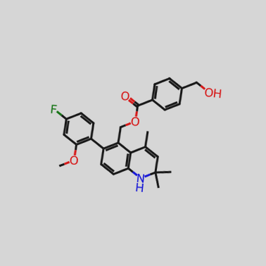 COc1cc(F)ccc1-c1ccc2c(c1COC(=O)c1ccc(CO)cc1)C(C)=CC(C)(C)N2